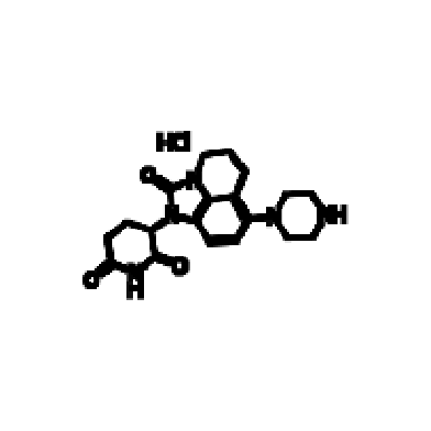 Cl.O=C1CCC(n2c(=O)n3c4c(c(N5CCNCC5)ccc42)CCC3)C(=O)N1